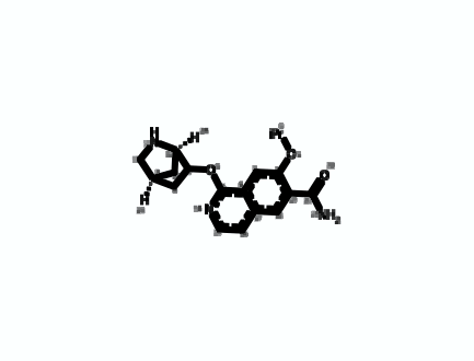 CC(C)Oc1cc2c(OC3C[C@H]4CN[C@@H]3C4)nccc2cc1C(N)=O